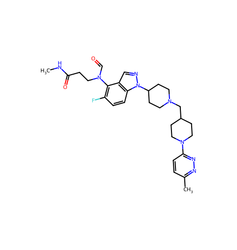 CNC(=O)CCN(C=O)c1c(F)ccc2c1cnn2C1CCN(CC2CCN(c3ccc(C)nn3)CC2)CC1